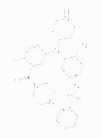 Cc1ccc(N(c2ccccc2C#N)C2CCNCC2)cc1C(=O)N1CCN(c2ccccc2S(N)(=O)=O)CC1